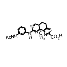 CC(=O)Nc1cccc(NC2=N[C@@]3(C)c4nc(C(=O)O)sc4CCC3C=N2)c1